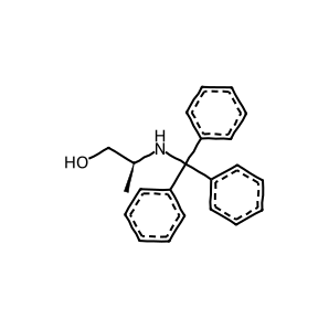 C[C@@H](CO)NC(c1ccccc1)(c1ccccc1)c1ccccc1